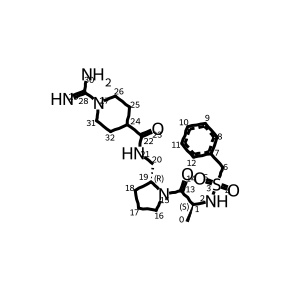 C[C@H](NS(=O)(=O)Cc1ccccc1)C(=O)N1CCC[C@@H]1CNC(=O)C1CCN(C(=N)N)CC1